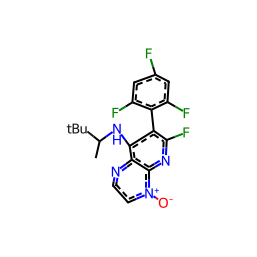 CC(Nc1c(-c2c(F)cc(F)cc2F)c(F)nc2c1ncc[n+]2[O-])C(C)(C)C